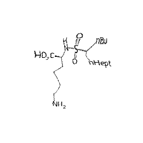 CCCCCCCC(CCCC)S(=O)(=O)N[C@@H](CCCCN)C(=O)O